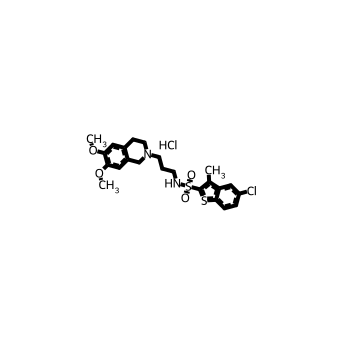 COc1cc2c(cc1OC)CN(CCCNS(=O)(=O)c1sc3ccc(Cl)cc3c1C)CC2.Cl